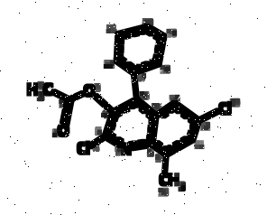 CC(=O)Oc1c(Cl)nc2c(C)cc(Cl)cc2c1-c1ccccc1